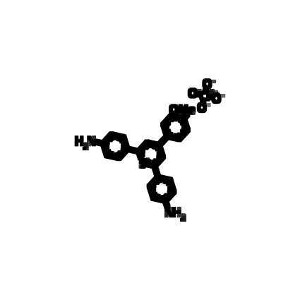 COc1ccc(-c2cc(-c3ccc(N)cc3)[s+]c(-c3ccc(N)cc3)c2)cc1.[O-][Cl+3]([O-])([O-])[O-]